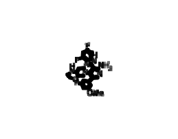 COc1cc(F)cc(-c2cnc(N)c(-c3nc4c(F)cc(F)cc4[nH]3)c2N2CCC3NCCOC3C2)c1